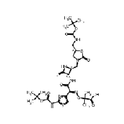 CC(C)(C)OC(=O)NC[C@@H]1CN(C[C@@H]2NC(=O)[C@H]2NC(=O)C(=NOC(C)(C)C(=O)O)c2csc(NC(=O)OC(C)(C)C)n2)C(=O)O1